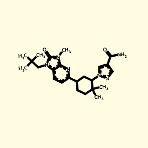 Cn1c(=O)n(CC(C)(C)C)c2ccc(C3CCC(C)(C)C(n4cc(C(N)=O)cn4)C3)nc21